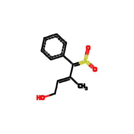 CC(=CCO)C(c1ccccc1)=S(=O)=O